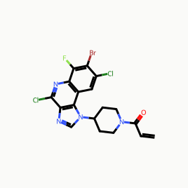 C=CC(=O)N1CCC(n2cnc3c(Cl)nc4c(F)c(Br)c(Cl)cc4c32)CC1